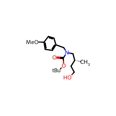 COc1ccc(CN(C[C@H](C)CCO)C(=O)OC(C)(C)C)cc1